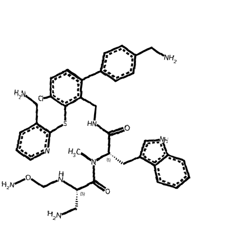 CN(C(=O)[C@H](CN)NCON)[C@@H](Cc1c[nH]c2ccccc12)C(=O)NCc1c(-c2ccc(CN)cc2)ccc(Cl)c1Sc1ncccc1CN